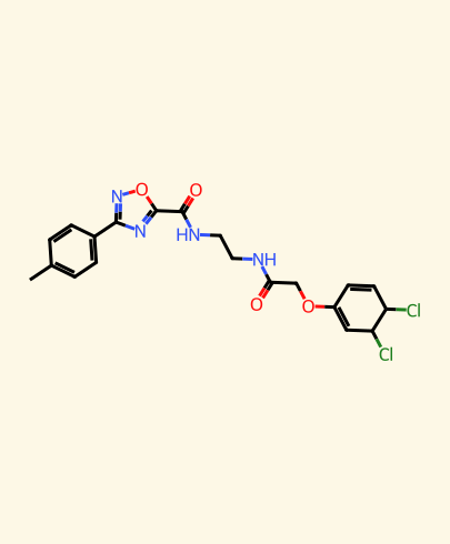 Cc1ccc(-c2noc(C(=O)NCCNC(=O)COC3=CC(Cl)C(Cl)C=C3)n2)cc1